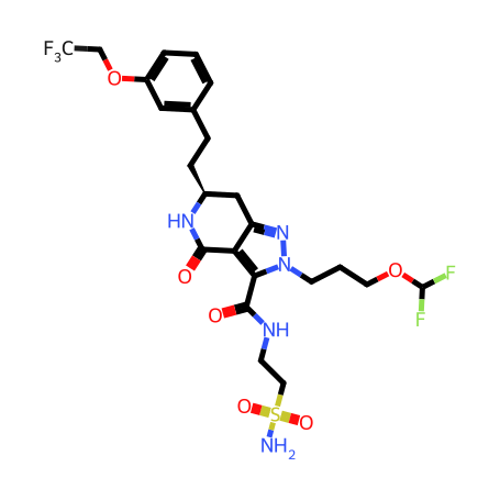 NS(=O)(=O)CCNC(=O)c1c2c(nn1CCCOC(F)F)C[C@H](CCc1cccc(OCC(F)(F)F)c1)NC2=O